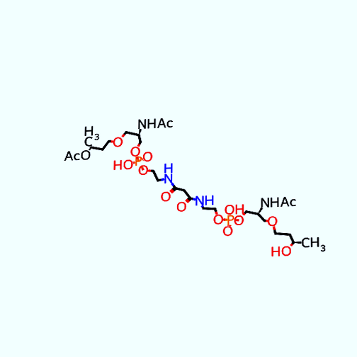 CC(=O)N[C@H](COCC[C@@H](C)OC(C)=O)COP(=O)(O)OCCNC(=O)CC(=O)NCCOP(=O)(O)OC[C@H](COCC[C@@H](C)O)NC(C)=O